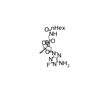 C#C[C@]1(CO)O[C@@H](n2cnc3c(N)nc(F)nc32)C[C@@H]1OC(=O)CNC(=O)CCCCCC